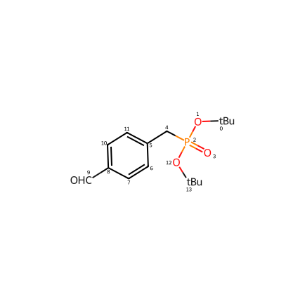 CC(C)(C)OP(=O)(Cc1ccc(C=O)cc1)OC(C)(C)C